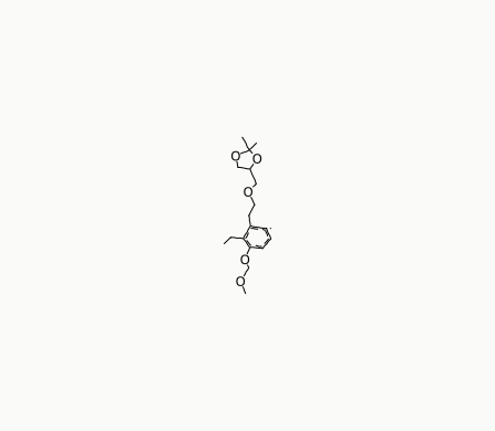 CCc1c(CCOCC2COC(C)(C)O2)[c]ccc1OCOC